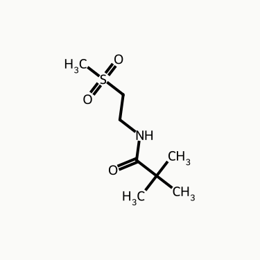 CC(C)(C)C(=O)NCCS(C)(=O)=O